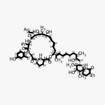 CC[C@@H]1CCC2(NC1=O)O[C@@H](C[C@H](O)[C@@H](C)CC/C=C/C=C(\C)[C@@H]1C/C=C/C=C/[C@@H](O)[C@H](C)[C@@H](O)[C@@H](CCC(C)=O)C(=O)NC(C(C)C)C(=O)N[C@@H](Cc3cccc(O)c3)C(=O)N3CCC[C@H](N3)C(=O)O1)[C@H](C)[C@H](O)[C@@H]2C